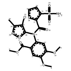 COC(=O)c1cc(OC)c(OC)cc1N(C(=O)c1sccc1S(N)(=O)=O)c1onc(C)c1Cl